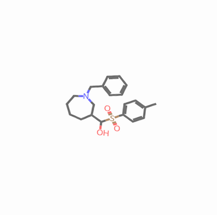 Cc1ccc(S(=O)(=O)C(O)C2CCCCN(Cc3ccccc3)C2)cc1